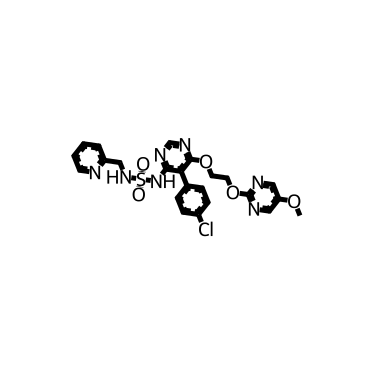 COc1cnc(OCCOc2ncnc(NS(=O)(=O)NCc3ccccn3)c2-c2ccc(Cl)cc2)nc1